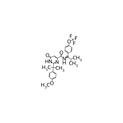 COc1ccc(C(C)(C)c2nc(C(=O)N[C@@H](c3ccc(OC(F)(F)F)cc3)C(C)C)cc(=O)[nH]2)cc1